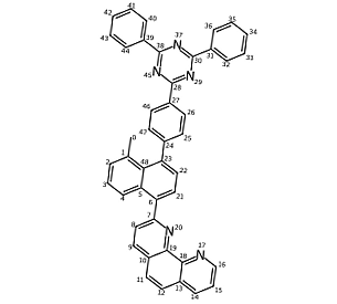 Cc1cccc2c(-c3ccc4ccc5cccnc5c4n3)ccc(-c3ccc(-c4nc(-c5ccccc5)nc(-c5ccccc5)n4)cc3)c12